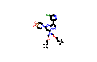 C[Si](C)(C)CCOCN(COCC[Si](C)(C)C)c1cc(N2CCS(=O)(=O)CC2)nc2c(-c3cncc(Br)c3)cnn12